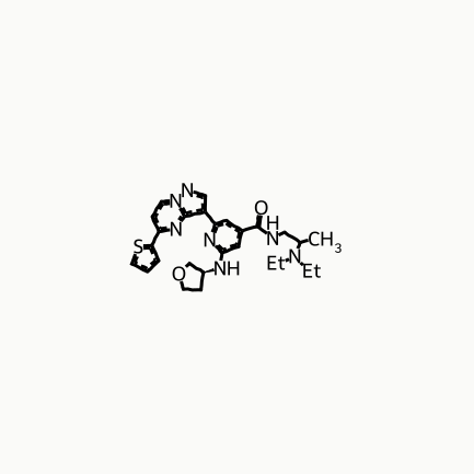 CCN(CC)C(C)CNC(=O)c1cc(N[C@H]2CCOC2)nc(-c2cnn3ccc(-c4cccs4)nc23)c1